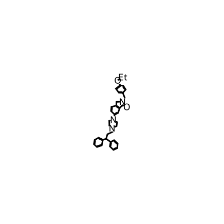 CCOc1ccc(CN2Cc3ccc(N4CCN(CCC(c5ccccc5)c5ccccc5)CC4)cc3C2=O)cc1